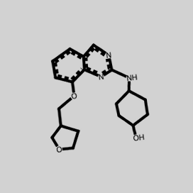 OC1CCC(Nc2ncc3cccc(OCC4CCOC4)c3n2)CC1